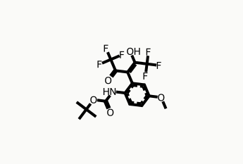 COc1ccc(NC(=O)OC(C)(C)C)c(/C(C(=O)C(F)(F)F)=C(/O)C(F)(F)F)c1